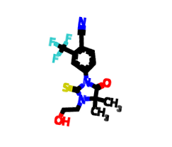 CC1(C)C(=O)N(c2ccc(C#N)c(C(F)(F)F)c2)C(=S)N1CCO